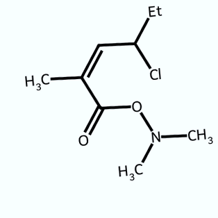 CCC(Cl)C=C(C)C(=O)ON(C)C